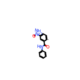 N[N+](=O)c1cc[c]c(C(=O)Nc2ccccc2)c1